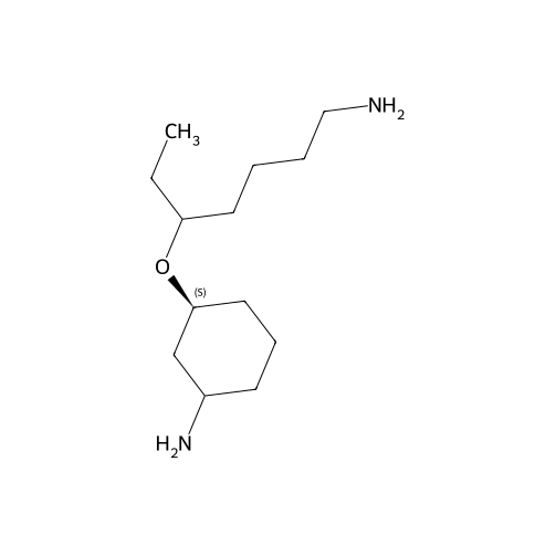 CCC(CCCCN)O[C@H]1CCCC(N)C1